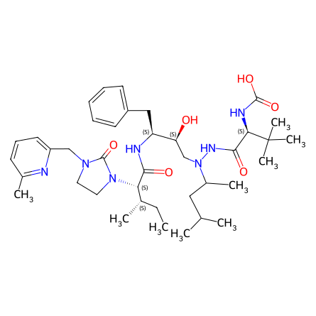 CC[C@H](C)[C@@H](C(=O)N[C@@H](Cc1ccccc1)[C@@H](O)CN(NC(=O)[C@@H](NC(=O)O)C(C)(C)C)C(C)CC(C)C)N1CCN(Cc2cccc(C)n2)C1=O